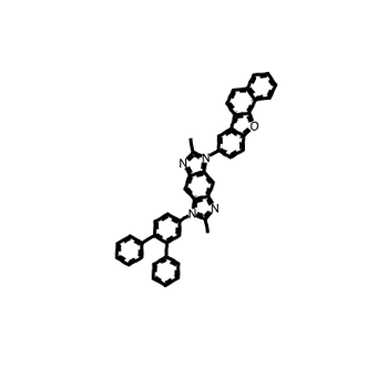 Cc1nc2cc3c(cc2n1-c1ccc(-c2ccccc2)c(-c2ccccc2)c1)nc(C)n3-c1ccc2oc3c4ccccc4ccc3c2c1